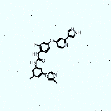 Cc1cc(NC(=O)Nc2ccc(Oc3ccnc(-c4cn[nH]c4)c3)cc2F)cc(-n2cnc(C)c2)c1